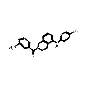 Nc1cncc(C(=O)N2CCc3c(cccc3Nc3ccc(C(F)(F)F)cn3)C2)c1